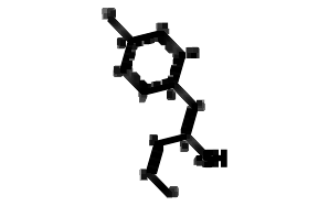 C/C=C\C(S)=C/c1ccc(C)cc1